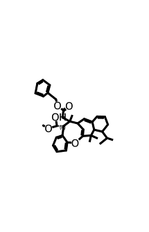 COC(O)[C@H]1c2ccccc2OC2=CC(C=C3C=CCC(C(C)C)C3C2(C)C)C1(C)CC(=O)OCc1ccccc1